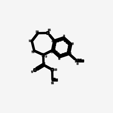 CNc1ccc2c(c1)N(C(=O)OC(C)(C)C)CCCO2